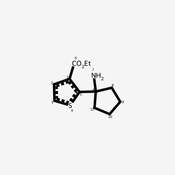 CCOC(=O)c1ccsc1C1(N)CCCC1